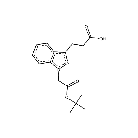 CC(C)(C)OC(=O)Cn1nc(CCC(=O)O)c2ccccc21